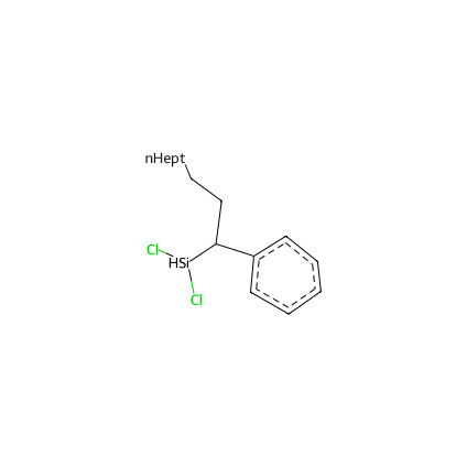 CCCCCCCCCC(c1ccccc1)[SiH](Cl)Cl